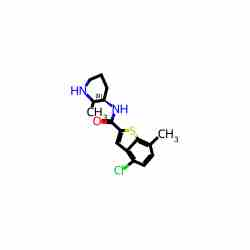 Cc1ccc(Cl)c2cc(C(=O)N[C@@H]3CCCNC3C)sc12